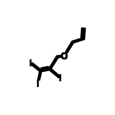 C=CCOCC(I)=C(I)I